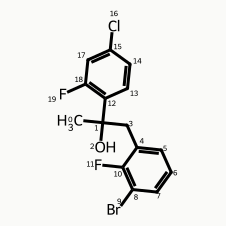 CC(O)(Cc1cccc(Br)c1F)c1ccc(Cl)cc1F